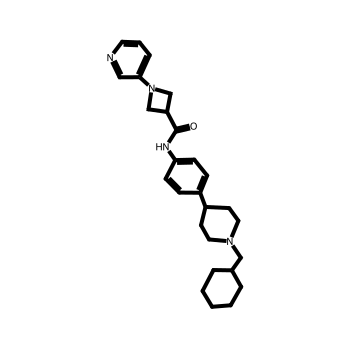 O=C(Nc1ccc(C2CCN(CC3CCCCC3)CC2)cc1)C1CN(c2cccnc2)C1